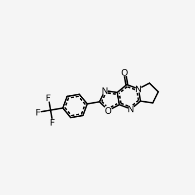 O=c1c2nc(-c3ccc(C(F)(F)F)cc3)oc2nc2n1CCC2